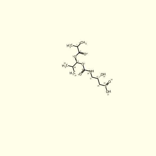 CC(C)C(=O)O[C@@H](OC(=O)NC[C@H](O)CS(=O)O)C(C)C